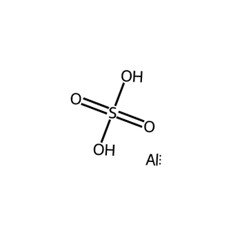 O=S(=O)(O)O.[Al]